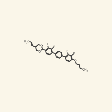 C/C=C/C1COC(c2ccc(-c3ccc(-c4ccc(OCCCC)c(F)c4F)cc3)c(F)c2F)OC1